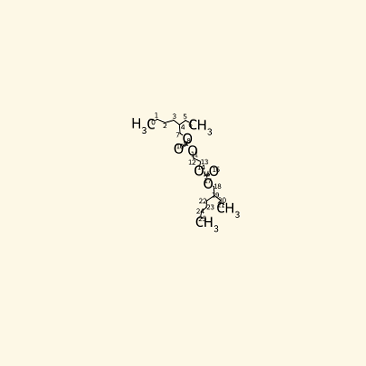 CCCCC(CC)COC(=O)OCCOC(=O)OCC(CC)CCCC